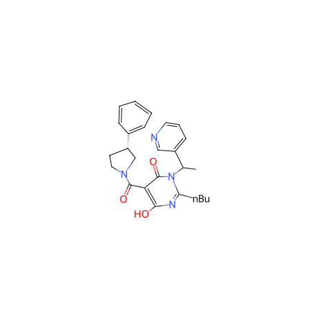 CCCCc1nc(O)c(C(=O)N2CC[C@H](c3ccccc3)C2)c(=O)n1C(C)c1cccnc1